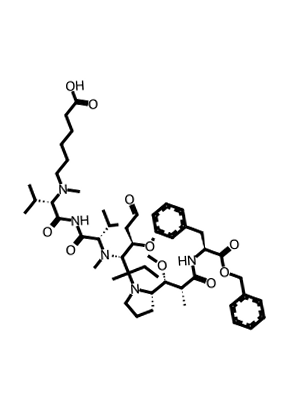 CCC(C)([C@@H]([C@@H](CC=O)OC)N(C)[C@H](C(=O)NC(=O)[C@H](C(C)C)N(C)CCCCCC(=O)O)C(C)C)N1CCC[C@H]1[C@H](OC)[C@@H](C)C(=O)N[C@@H](Cc1ccccc1)C(=O)OCc1ccccc1